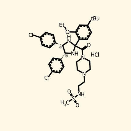 CCOc1cc(C(C)(C)C)ccc1C1(C(=O)N2CCN(CCNS(C)(=O)=O)CC2)N[C@H](c2ccc(Cl)cc2)[C@H](c2ccc(Cl)cc2)N1.Cl